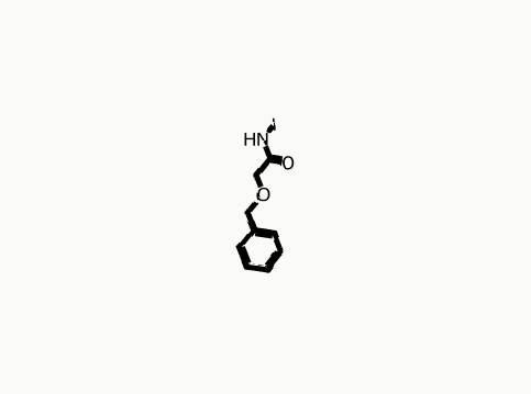 O=C(COCc1ccccc1)NI